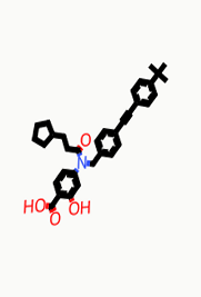 CC(C)(C)c1ccc(C#Cc2ccc(CN(C(=O)CCC3CCCC3)c3ccc(C(=O)O)c(O)c3)cc2)cc1